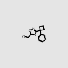 ClCc1nc(C2(c3ccccc3)CCC2)no1